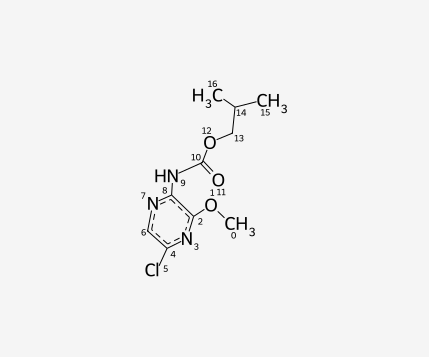 COc1nc(Cl)cnc1NC(=O)OCC(C)C